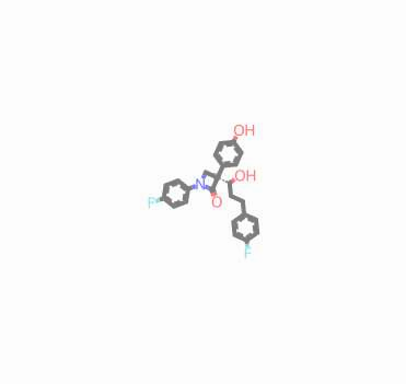 O=C1N(c2ccc(F)cc2)C[C@]1(c1ccc(O)cc1)C(O)CCc1ccc(F)cc1